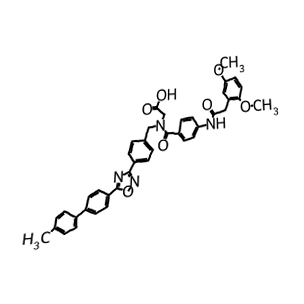 COc1ccc(OC)c(CC(=O)Nc2ccc(C(=O)N(CC(=O)O)Cc3ccc(-c4noc(-c5ccc(-c6ccc(C)cc6)cc5)n4)cc3)cc2)c1